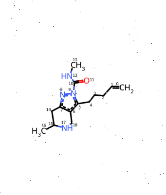 C=CCCCc1c2c(nn1C(=O)NC)CC(C)NC2